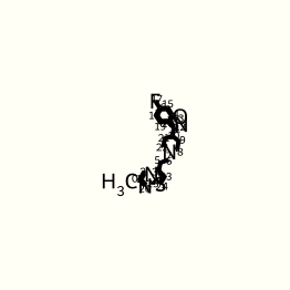 Cc1cn2c(CCN3CCC(c4noc5cc(F)ccc45)CC3)csc2n1